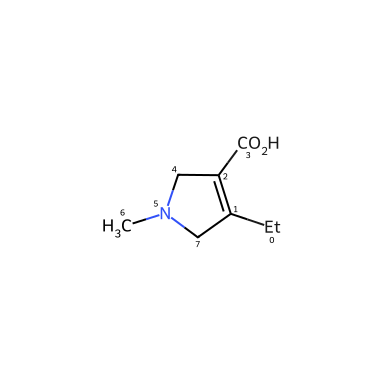 CCC1=C(C(=O)O)CN(C)C1